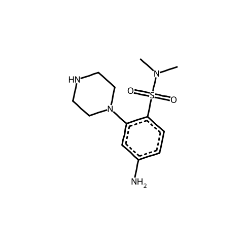 CN(C)S(=O)(=O)c1ccc(N)cc1N1CCNCC1